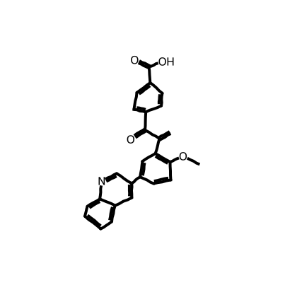 C=C(C(=O)c1ccc(C(=O)O)cc1)c1cc(-c2cnc3ccccc3c2)ccc1OC